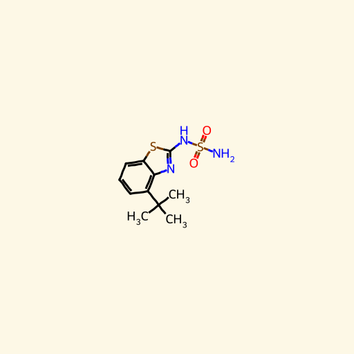 CC(C)(C)c1cccc2sc(NS(N)(=O)=O)nc12